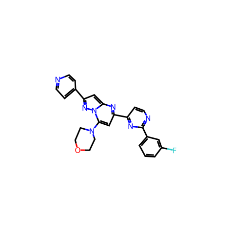 Fc1cccc(-c2nccc(-c3cc(N4CCOCC4)n4nc(-c5ccncc5)cc4n3)n2)c1